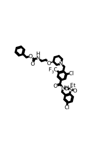 CCS(=O)(=O)c1ccc(Cl)cc1CNC(=O)c1cc(Cl)c(CN2CCC[C@H](OCCNC(=O)OCc3ccccc3)C2)c(C(F)(F)F)c1